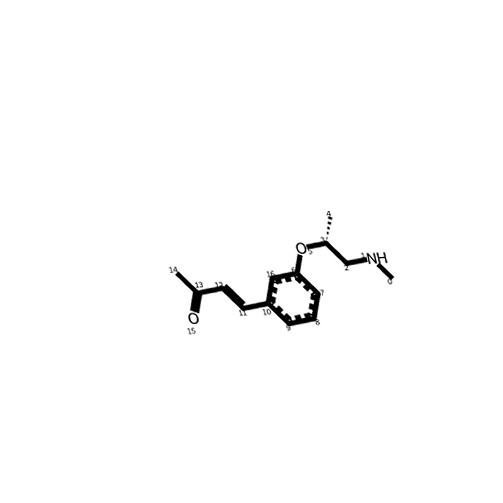 CNC[C@@H](C)Oc1cccc(/C=C/C(C)=O)c1